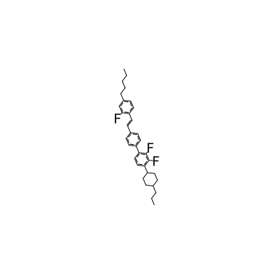 CCCCCc1ccc(/C=C/c2ccc(-c3ccc(C4CCC(CCC)CC4)c(F)c3F)cc2)c(F)c1